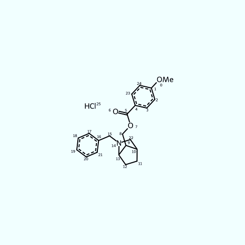 COc1ccc(C(=O)OCC2C3CCC2N(Cc2ccccc2)C3)cc1.Cl